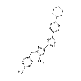 Cc1ccc(Cn2nc(-c3nc(-c4ccc(C5CCCCC5)cc4)co3)cc2C)cc1